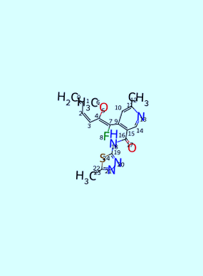 C=C/C=C\C(OC)=C(/F)c1cc(C)ncc1C(=O)Nc1nnc(C)s1